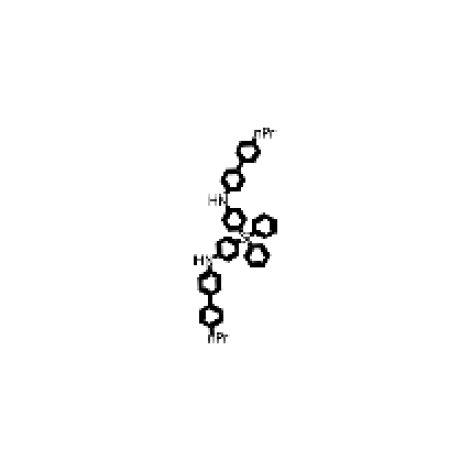 CCCc1ccc(-c2ccc(Nc3ccc([Si](c4ccccc4)(c4ccccc4)c4ccc(Nc5ccc(-c6ccc(CCC)cc6)cc5)cc4)cc3)cc2)cc1